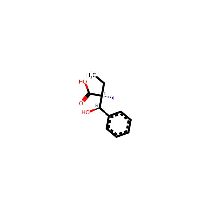 CC[C@](I)(C(=O)O)[C@H](O)c1ccccc1